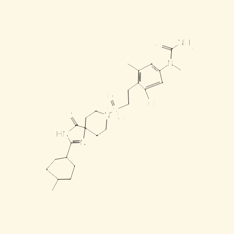 Cc1cc(N(C)C(N)=O)cc(Cl)c1CCS(=O)(=O)N1CCC2(CC1)N=C(C1CCC(C)CC1)NC2=O